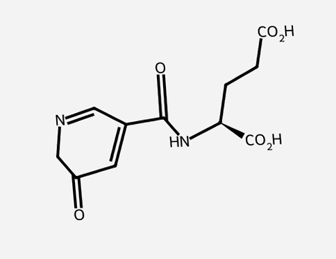 O=C(O)CC[C@H](NC(=O)C1=CC(=O)CN=C1)C(=O)O